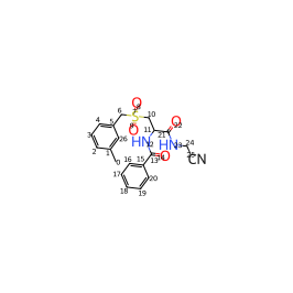 Cc1cccc(CS(=O)(=O)CC(NC(=O)c2ccccc2)C(=O)NCC#N)c1